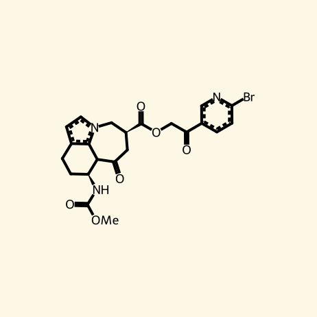 COC(=O)N[C@H]1CCc2ccn3c2C1C(=O)C[C@H](C(=O)OCC(=O)c1ccc(Br)nc1)C3